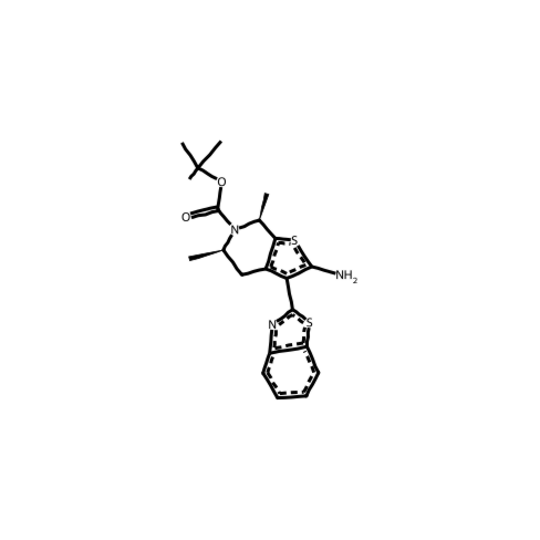 C[C@@H]1Cc2c(sc(N)c2-c2nc3ccccc3s2)[C@H](C)N1C(=O)OC(C)(C)C